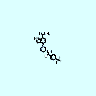 NC(=O)c1ccc(N2CCC[C@@H](NC(=O)c3ccc(C(F)(F)F)cc3)C2)c2cc[nH]c12